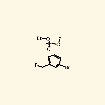 CCO[PH](=O)OCC.FCc1cccc(Br)c1